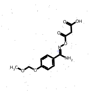 COCOc1ccc(/C(N)=N/OC(=O)CC(=O)O)cc1